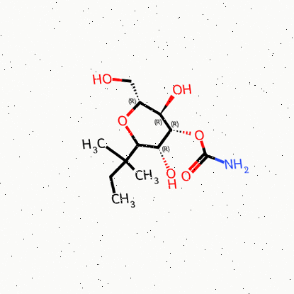 CCC(C)(C)C1O[C@H](CO)[C@@H](O)[C@H](OC(N)=O)[C@@H]1O